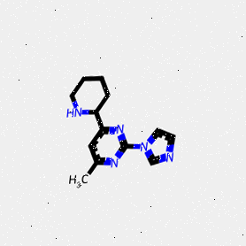 Cc1cc(C2CCCCN2)nc(-n2ccnc2)n1